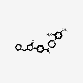 Cc1ccc(N2CCN(C(=O)c3ccc(N4CC(CN5CCCC5)CC4=O)cc3)CC2)c(C)c1